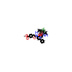 COC(=O)c1ccc(CC(=O)Nc2ccc(-c3ccccc3)n(CC(=O)NC(C(C)C)C(O[Si](C)(C)C(C)(C)C)C(F)(F)F)c2=O)cc1